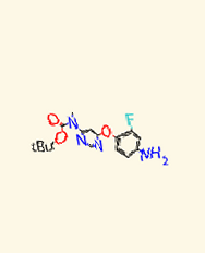 CN(C(=O)OC(C)(C)C)c1cc(Oc2ccc(N)cc2F)ncn1